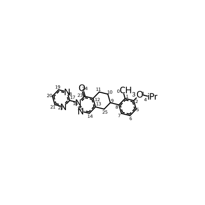 Cc1c(OC(C)C)cccc1C1CCc2c(cnn(-c3ncccn3)c2=O)C1